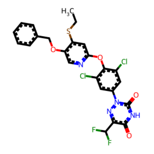 CCSc1cc(Oc2c(Cl)cc(-n3nc(C(F)F)c(=O)[nH]c3=O)cc2Cl)ncc1OCc1ccccc1